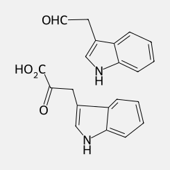 O=C(O)C(=O)Cc1c[nH]c2ccccc12.O=CCc1c[nH]c2ccccc12